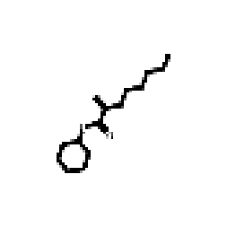 C=C(CCCCCC)C(=O)OC1CCCCC1